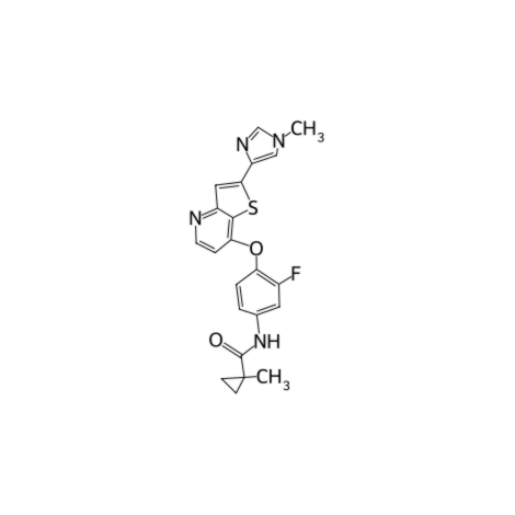 Cn1cnc(-c2cc3nccc(Oc4ccc(NC(=O)C5(C)CC5)cc4F)c3s2)c1